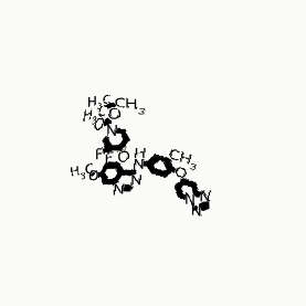 COC1=CC2N=CN=C(Nc3ccc(Oc4ccn5ncnc5c4)c(C)c3)C2C(O[C@H]2CCN(C(=O)OC(C)(C)C)CC2(F)F)=C1